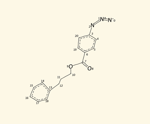 [N-]=[N+]=Nc1ccc(C(=O)OCCCc2ccccc2)cc1